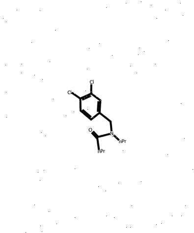 CCCC(=O)N(CCC)Cc1ccc(Cl)c(Cl)c1